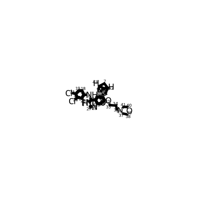 C=CC(=O)N1C[C@H]2C[C@@H](C1)[C@H]2Oc1cc2c(Nc3ccc(Cl)c(Cl)c3F)ncnc2cc1OCCCN1CCOCC1